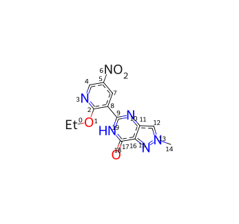 CCOc1ncc([N+](=O)[O-])cc1-c1nc2cn(C)nc2c(=O)[nH]1